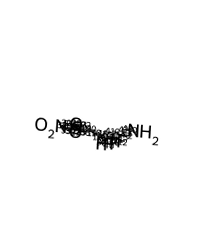 NC1CC=C(c2cc3c(c(F)c2F)-c2c(cc(CCCCC4CCC(S(=O)(=O)c5ccc([N+](=O)[O-])cc5)CC4)c(F)c2F)C3)CC1